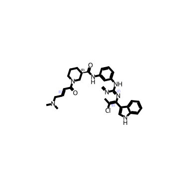 C=N/C(=N\C(=C(/C)Cl)c1c[nH]c2ccccc12)Nc1cccc(NC(=O)[C@@H]2CCCN(C(=O)/C=C/CN(C)C)C2)c1